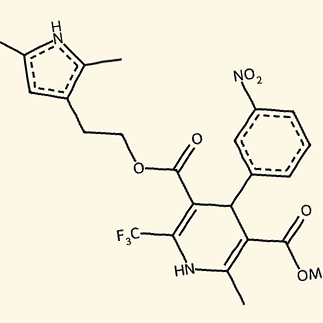 COC(=O)C1=C(C)NC(C(F)(F)F)=C(C(=O)OCCc2cc(C)[nH]c2C)C1c1cccc([N+](=O)[O-])c1